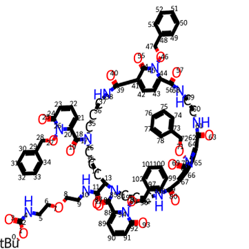 CC(C)(C)OC(=O)NCCOCCNC(=O)C1CCCN(C(=O)c2cccc(=O)n2OCc2ccccc2)CCCNC(=O)c2ccc(n(OCc3ccccc3)c2=O)C(=O)NCCNC(=O)c2ccc(c(=O)n2OCc2ccccc2)C(=O)NCCCN1C(=O)c1cccc(=O)n1OCc1ccccc1